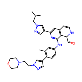 Cc1cc(Nc2nc(-c3cnn(CC(C)C)c3)cc3c2C(C=O)NC=C3)ccc1-c1cnn(CCN2CCOCC2)c1